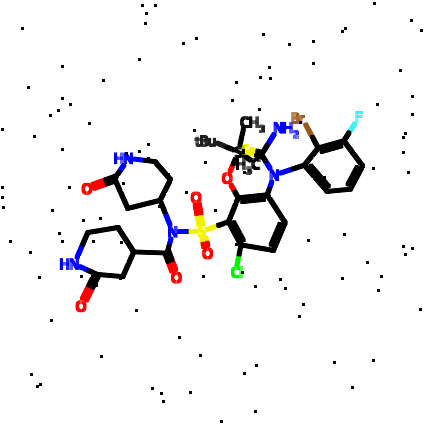 CC(C)(C)[Si](C)(C)Oc1c(N(C(N)=S)c2cccc(F)c2Br)ccc(Cl)c1S(=O)(=O)N(C(=O)C1CCNC(=O)C1)C1CCNC(=O)C1